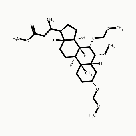 CC[C@H]1[C@@H](OCOC)[C@@H]2[C@H](CC[C@]3(C)[C@@H]([C@H](C)CC(=O)OC)CC[C@@H]23)[C@@]2(C)CC[C@@H](OCOC)C[C@@H]12